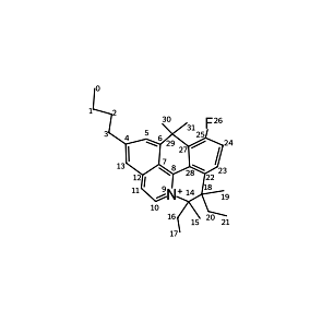 CCCCc1cc2c3c4[n+](ccc3c1)C(C)(CC)C(C)(CC)c1ccc(F)c(c1-4)C2(C)C